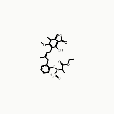 CCOC(=O)C(C)N(Oc1ccccc1CC(C)=CCC1=C(OC)C(C)C2=COC(=O)C2=C1O)[PH2]=O